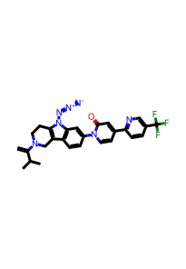 C=C(C(C)C)N1CCc2c(c3ccc(-n4ccc(-c5ccc(C(F)(F)F)cn5)cc4=O)cc3n2N=[N+]=[N-])C1